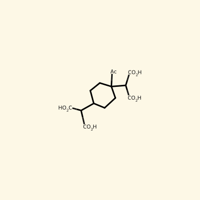 CC(=O)C1(C(C(=O)O)C(=O)O)CCC(C(C(=O)O)C(=O)O)CC1